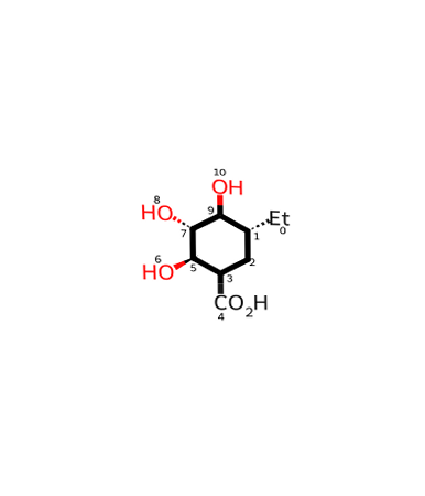 CC[C@@H]1CC(C(=O)O)[C@@H](O)[C@H](O)C1O